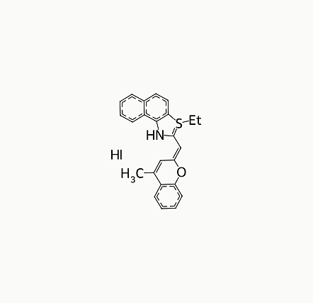 CCS1=C(C=C2C=C(C)c3ccccc3O2)Nc2c1ccc1ccccc21.I